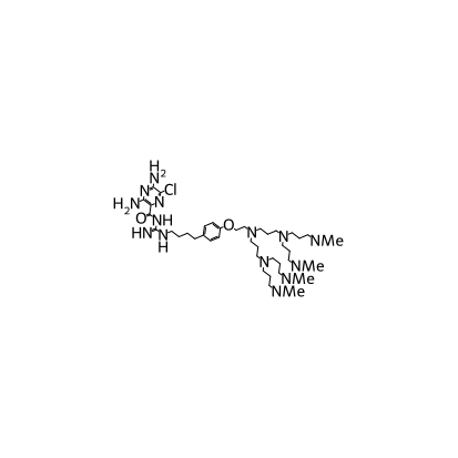 CNCCCN(CCCNC)CCCN(CCCN(CCCNC)CCCNC)CCOc1ccc(CCCCNC(=N)NC(=O)c2nc(Cl)c(N)nc2N)cc1